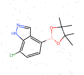 CC1(C)OB(c2ccc(Cl)c3[nH]ncc23)OC1(C)C